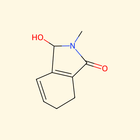 CN1C(=O)C2=C(C=CCC2)C1O